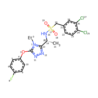 CCn1c(Oc2ccc(F)cc2)nnc1[C@@H](C)NS(=O)(=O)Cc1ccc(Cl)c(Cl)c1